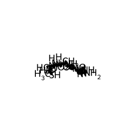 C[C@H](CCC(=O)NC[C@H](N)C(=O)N[C@@H](CO)C(=O)N[C@H](C)CS)NC(=O)c1ccc(NCc2cnc3nc(N)[nH]c(=O)c3n2)cc1